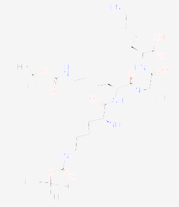 C[C@H](NC(=O)[C@H](CCCCNC(=O)OC(C)(C)C)NC(=O)[C@@H](N)CCCCNC(=O)OC(C)(C)C)C(=O)N[C@@H](CCCCN)C(=O)O